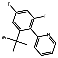 CC(C)C(C)(C)c1cc(F)cc(F)c1-c1ccccn1